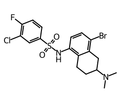 CN(C)C1CCc2c(NS(=O)(=O)c3ccc(F)c(Cl)c3)ccc(Br)c2C1